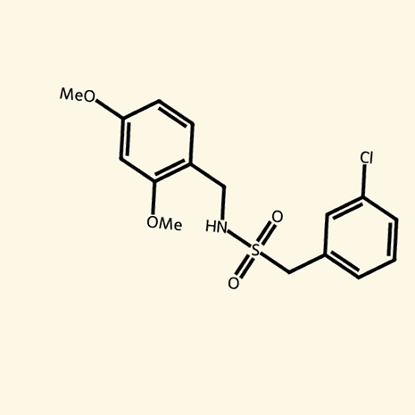 COc1ccc(CNS(=O)(=O)Cc2cccc(Cl)c2)c(OC)c1